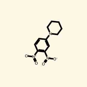 O=[N+]([O-])c1ccc(N2CCCCC2)cc1[N+](=O)[O-]